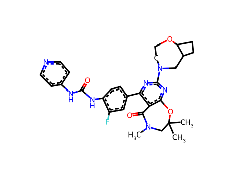 CN1CC(C)(C)Oc2nc(N3CCOC4CCC4C3)nc(-c3ccc(NC(=O)Nc4ccncc4)c(F)c3)c2C1=O